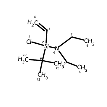 C=C[Si](Cl)(N(CC)CC)C(C)(C)C